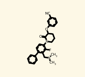 CN(C)Cc1c(-c2ccccc2)ccc(N2CCCC(Oc3cccc(C#N)c3)C2=O)c1F